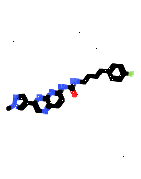 Cn1cc(-c2cnc3ccc(NC(=O)NCCCCc4ccc(F)cc4)nc3n2)cn1